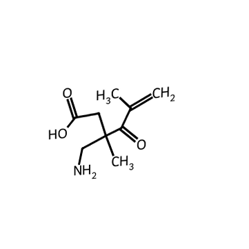 C=C(C)C(=O)C(C)(CN)CC(=O)O